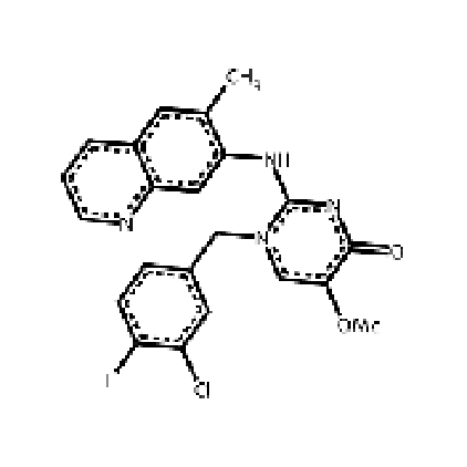 COc1cn(Cc2ccc(F)c(Cl)c2)c(Nc2cc3ncccc3cc2C)nc1=O